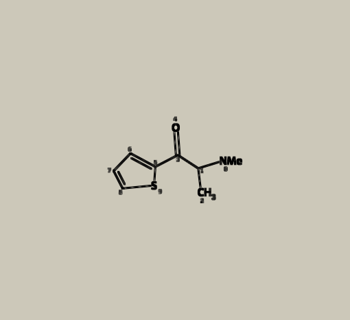 CNC(C)C(=O)c1cccs1